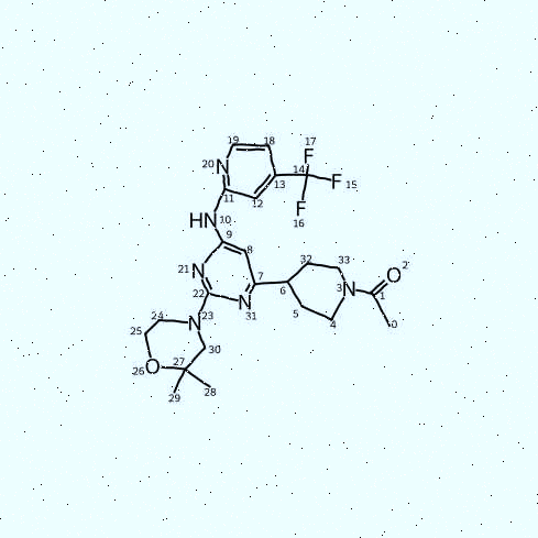 CC(=O)N1CCC(c2cc(Nc3cc(C(F)(F)F)ccn3)nc(N3CCOC(C)(C)C3)n2)CC1